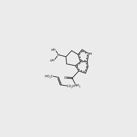 CCCN(CCC)C1Cc2c[nH]c3ccc(C(N)=O)c(c23)C1.O=C(O)C=CC(=O)O